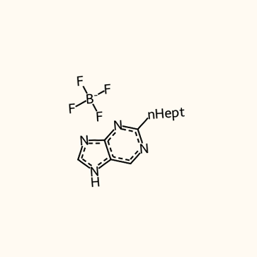 CCCCCCCc1ncc2[nH]cnc2n1.F[B-](F)(F)F